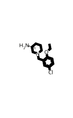 CCOc1ccc(Cl)cc1CN1CCC[C@@H](N)C1